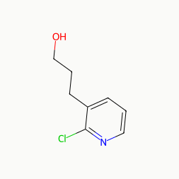 OCCCc1cccnc1Cl